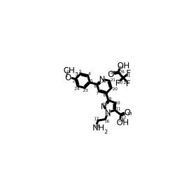 COc1ccc(-c2cc(-c3cc(C(=O)O)n(CCN)n3)ccn2)cc1.O=C(O)C(F)(F)F